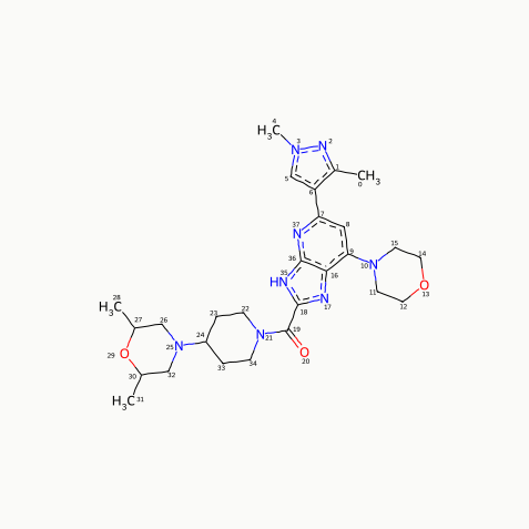 Cc1nn(C)cc1-c1cc(N2CCOCC2)c2nc(C(=O)N3CCC(N4CC(C)OC(C)C4)CC3)[nH]c2n1